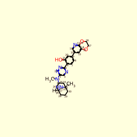 CN(c1cnc(-c2ccc(-c3cnc4c(c3)OCCO4)cc2O)nn1)[C@@H]1C[C@H]2CCC[C@@](C)(C1)N2